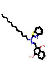 CCCCCCCCCCCCN(/N=C/c1cc(O)c2ccccc2c1O)c1nc2ccccc2s1